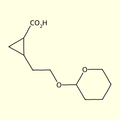 O=C(O)C1CC1CCOC1CCCCO1